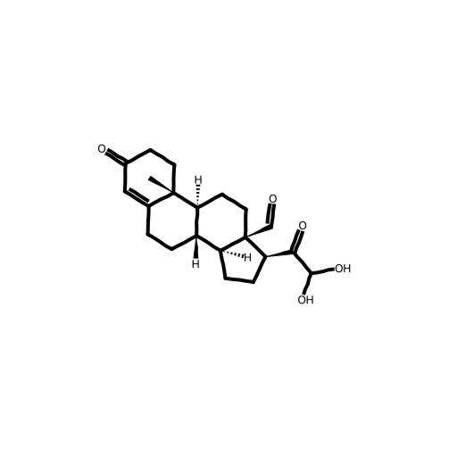 C[C@]12CCC(=O)C=C1CC[C@H]1[C@@H]3CC[C@H](C(=O)C(O)O)[C@@]3(C=O)CC[C@@H]12